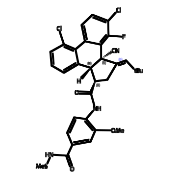 COc1cc(C(=O)NSC)ccc1NC(=O)[C@@H]1C/C(=C\C(C)(C)C)[C@]2(C#N)c3c(ccc(Cl)c3F)-c3c(Cl)cccc3[C@@H]12